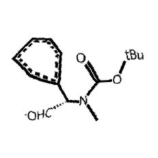 CN(C(=O)OC(C)(C)C)[C@H]([C]=O)c1ccccc1